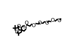 COCCOCCOCCOCCOCCC(=O)N1CCC(CC(C)=O)(CC(=O)C(C)(C)C)CC1